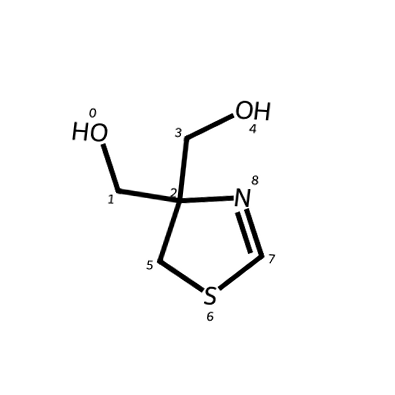 OCC1(CO)CSC=N1